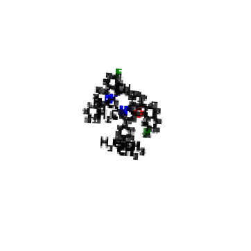 C=C1CC2(C)[n+]3cc(-c4ccccc4)ccc3-c3ccc(F)cc3C2(C)CCc2ccc3c(oc4c5cc(F)ccc5ccc34)c2-c2ccc(-c3ccc([Si](C)(C)C)cc3)c[n+]21